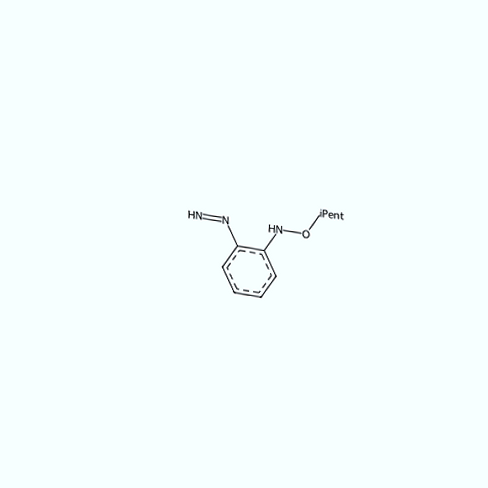 CCCC(C)ONc1ccccc1N=N